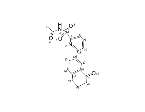 CC(=O)NS(=O)(=O)c1cccc(-c2ccc3c(c2)C(=O)CCC3)n1